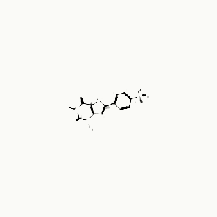 CCCn1c(=O)n(C)c(=O)c2[nH]c(-c3ccc(S(=O)(=O)Cl)cc3)cc21